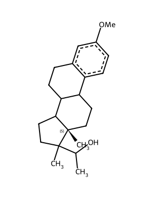 COc1ccc2c(c1)CCC1C2CC[C@@]2(C)C1CCC2(C)C(C)O